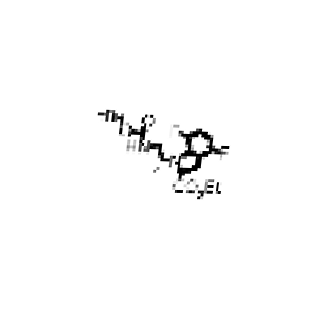 CCOC(=O)c1cc2c(F)ccc(F)c2n1[C@H](C)CNC(=O)OC(C)(C)C